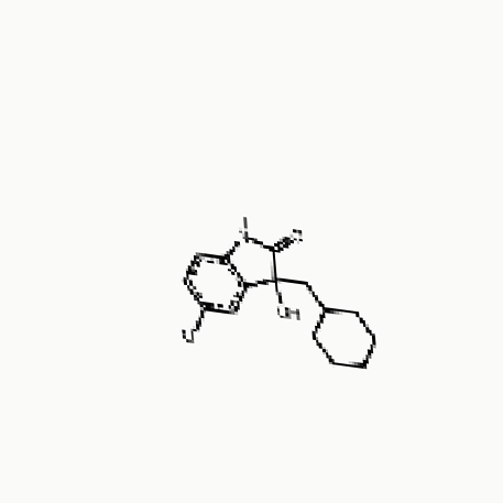 O=C1Nc2ccc(Cl)cc2C1(O)CC1CCCCC1